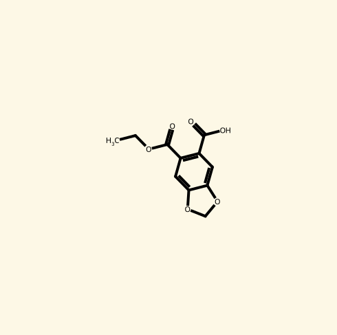 CCOC(=O)c1cc2c(cc1C(=O)O)OCO2